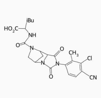 CCC(C)C(NC(=O)N1CC2CC1C1C(=O)N(c3ccc(C#N)c(Cl)c3C)C(=O)N21)C(=O)O